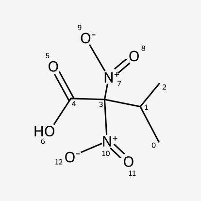 CC(C)C(C(=O)O)([N+](=O)[O-])[N+](=O)[O-]